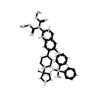 CC(C)(C)OC(=O)N(C(=O)OC(C)(C)C)c1ncc2cc(Cl)c(C3CCN([C@@]4(C)COC[C@H]4O[Si](c4ccccc4)(c4ccccc4)C(C)(C)C)CC3)cc2n1